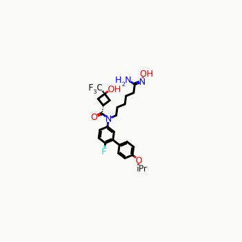 CC(C)Oc1ccc(-c2cc(N(CCCCC/C(N)=N/O)C(=O)[C@H]3C[C@](O)(C(F)(F)F)C3)ccc2F)cc1